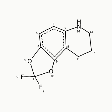 FC1(F)Oc2ccc3c(c2O1)CCCN3